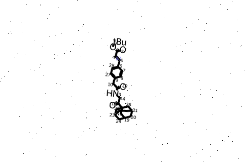 CC(C)(C)OC(=O)/C=C/c1ccc(CC(=O)NCC(=O)C23CC4CC(CC(C4)C2)C3)cc1